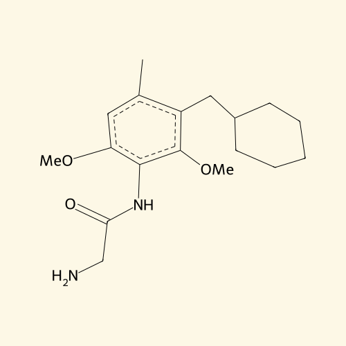 COc1cc(C)c(CC2CCCCC2)c(OC)c1NC(=O)CN